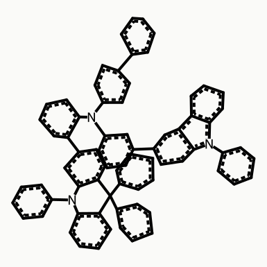 c1ccc(-c2ccc(N(c3cccc(-c4ccc5c(c4)c4ccccc4n5-c4ccccc4)c3)c3ccccc3-c3ccc4c(c3)N(c3ccccc3)c3ccccc3C4(c3ccccc3)c3ccccc3)cc2)cc1